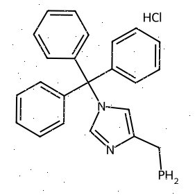 Cl.PCc1cn(C(c2ccccc2)(c2ccccc2)c2ccccc2)cn1